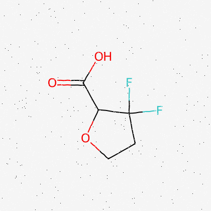 O=C(O)C1OCCC1(F)F